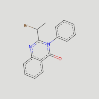 CC(Br)c1nc2ccccc2c(=O)n1-c1ccccc1